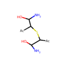 CC(=O)C(SC(C(C)=O)C(N)O)C(N)O